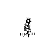 CC(O)C(N)C(=O)NS(=O)(=O)c1nc2ccccc2s1